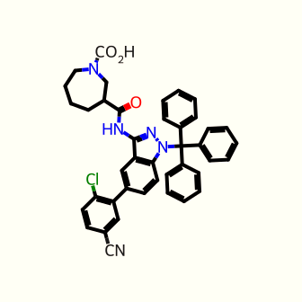 N#Cc1ccc(Cl)c(-c2ccc3c(c2)c(NC(=O)C2CCCCN(C(=O)O)C2)nn3C(c2ccccc2)(c2ccccc2)c2ccccc2)c1